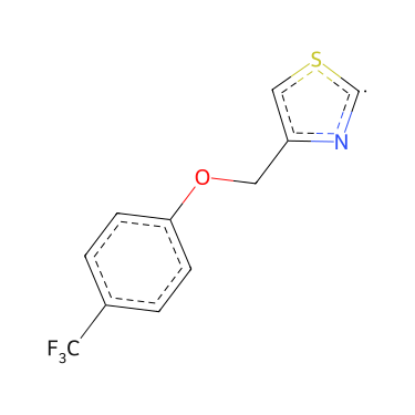 FC(F)(F)c1ccc(OCc2cs[c]n2)cc1